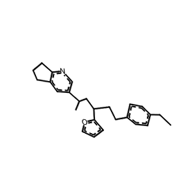 CCc1ccc(CCC(CC(C)c2cnc3c(c2)CCC3)c2ccco2)cc1